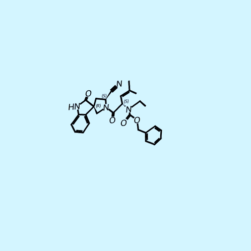 CCN(C(=O)OCc1ccccc1)[C@@H](C=C(C)C)C(=O)N1C[C@]2(C[C@H]1C#N)C(=O)Nc1ccccc12